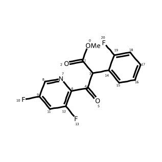 COC(=O)C(C(=O)c1ncc(F)cc1F)c1ccccc1F